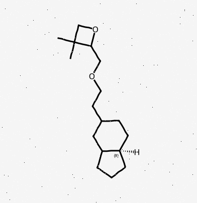 CC1(C)COC1COCCC1CC[C@H]2CCCC2C1